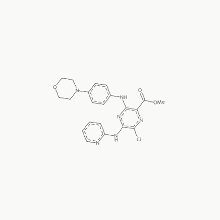 COC(=O)c1nc(Cl)c(Nc2ccccn2)nc1Nc1ccc(N2CCOCC2)cc1